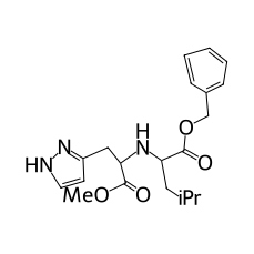 COC(=O)C(Cc1cc[nH]n1)NC(CC(C)C)C(=O)OCc1ccccc1